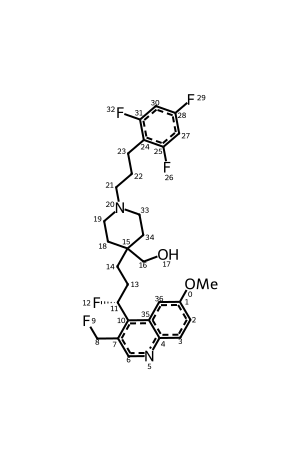 COc1ccc2ncc(CF)c([C@H](F)CCC3(CO)CCN(CCCc4c(F)cc(F)cc4F)CC3)c2c1